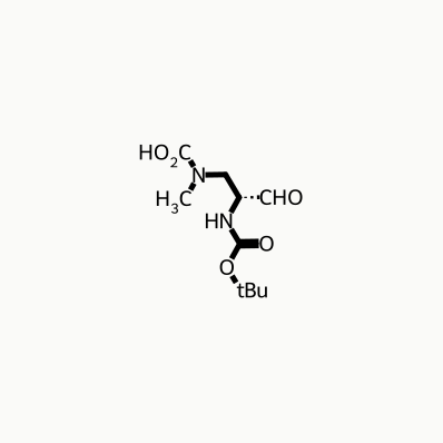 CN(C[C@H](C=O)NC(=O)OC(C)(C)C)C(=O)O